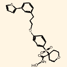 O=C(NO)C1(S(=O)(=O)c2ccc(OCCCc3cccc(-c4cccs4)c3)cc2)CCOCC1